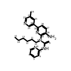 C=C(Nc1ccccn1)N(CCCCCC)c1nc(-c2cncc(C)c2)ccc1N